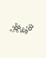 Cn1c(=O)[nH]c2scc(CC(=O)Nc3nc(-c4ccc(F)c(C(F)(F)F)c4F)cs3)c2c1=O